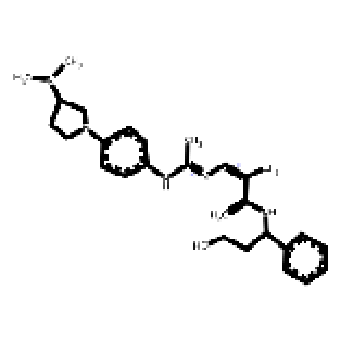 C=C(NC(CCO)c1ccccc1)/C(=C\N=C(/C)Nc1ccc(N2CCC(N(C)C)C2)cc1)C(F)(F)F